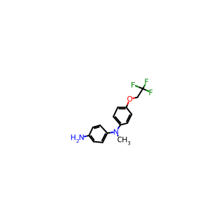 CN(c1ccc(N)cc1)c1ccc(OCC(F)(F)F)cc1